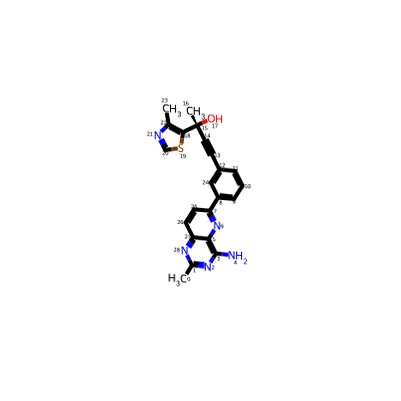 Cc1nc(N)c2nc(-c3cccc(C#C[C@@](C)(O)c4scnc4C)c3)ccc2n1